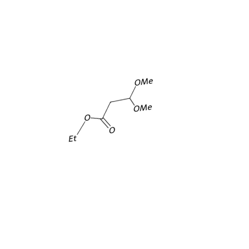 CCOC(=O)CC(OC)OC